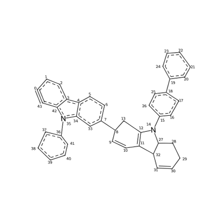 c1ccc2c3ccc(C4C=CC5=C(C4)N(c4ccc(-c6ccccc6)cc4)C4CCC=CC54)cc3n(-c3ccccc3)c2c#1